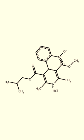 COC(=O)C1=C(C)NC(C)=C(C(=O)OCC(C)C)C1c1ccccc1[N+](=O)[O-].Cl